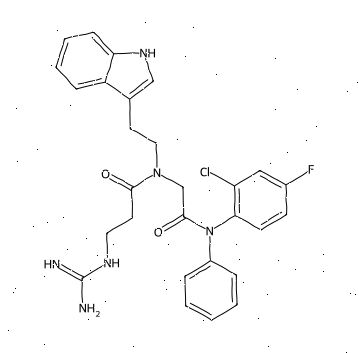 N=C(N)NCCC(=O)N(CCc1c[nH]c2ccccc12)CC(=O)N(c1ccccc1)c1ccc(F)cc1Cl